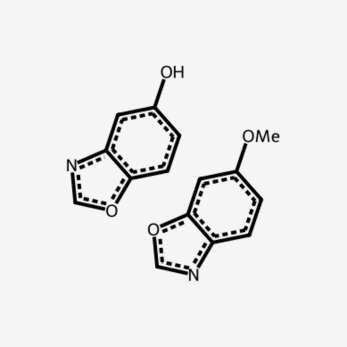 COc1ccc2ncoc2c1.Oc1ccc2ocnc2c1